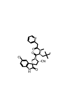 CN(C(=O)Cc1ccccn1)[C@@H](CC(C)(C)F)C(=O)N1C[C@]2(C[C@H]1C#N)C(=O)Nc1ccc(Cl)cc12